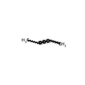 CCCCCCCCCCc1ccc(C2=CCC(C3CCC(CCCCCCCCCC)CC3)C=C2)cc1